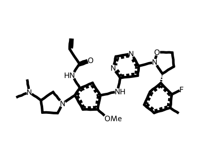 C=CC(=O)Nc1cc(Nc2cc(N3OCC[C@@H]3c3cccc(C)c3F)ncn2)c(OC)cc1N1CCC(N(C)C)C1